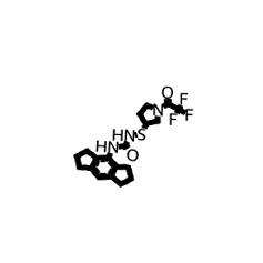 O=C(NSC1CCN(C(=O)C(F)(F)F)C1)Nc1c2c(cc3c1CCC3)CCC2